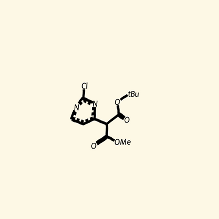 COC(=O)C(C(=O)OC(C)(C)C)c1ccnc(Cl)n1